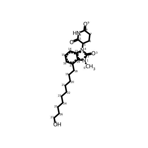 Cn1c(=O)n(C2CCC(=O)NC2=O)c2cccc(CCCCCCCCCCO)c21